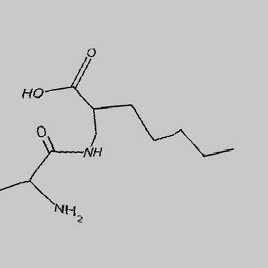 CCCCCC(NC(=O)C(N)CC)C(=O)O